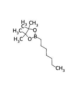 CCCCCCCB1OC(C)(C)C(C)(C)O1